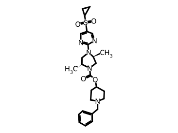 C[C@@H]1CN(c2ncc(S(=O)(=O)C3CC3)cn2)[C@@H](C)CN1C(=O)OC1CCN(Cc2ccccc2)CC1